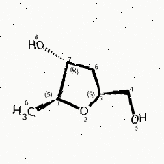 C[C@@H]1O[C@H](CO)C[C@H]1O